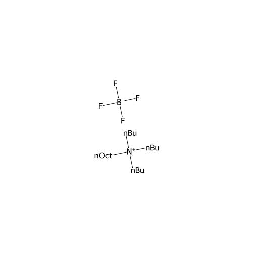 CCCCCCCC[N+](CCCC)(CCCC)CCCC.F[B-](F)(F)F